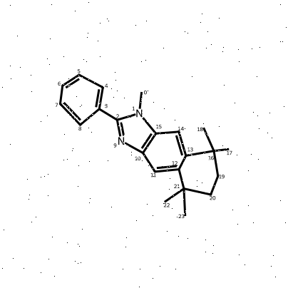 Cn1c(-c2ccccc2)nc2cc3c(cc21)C(C)(C)CCC3(C)C